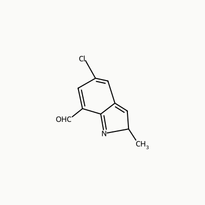 CC1C=c2cc(Cl)cc(C=O)c2=N1